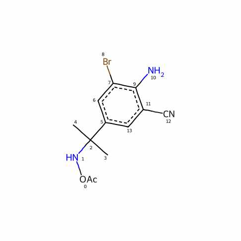 CC(=O)ONC(C)(C)c1cc(Br)c(N)c(C#N)c1